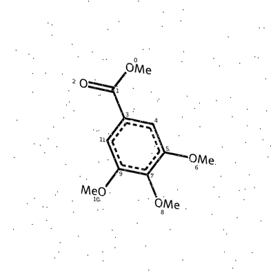 COC(=O)c1cc(OC)c(OC)c(OC)c1